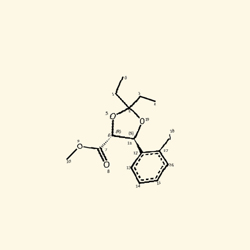 CCC1(CC)O[C@@H](C(=O)OC)[C@H](c2ccccc2I)O1